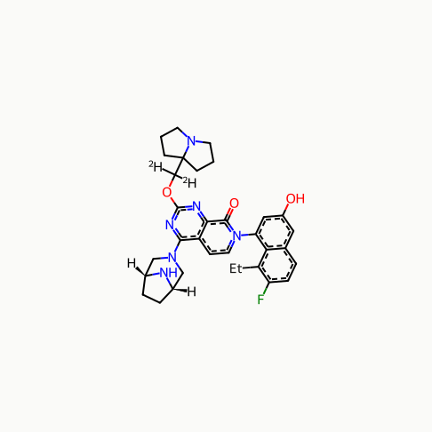 [2H]C([2H])(Oc1nc(N2C[C@H]3CC[C@@H](C2)N3)c2ccn(-c3cc(O)cc4ccc(F)c(CC)c34)c(=O)c2n1)C12CCCN1CCC2